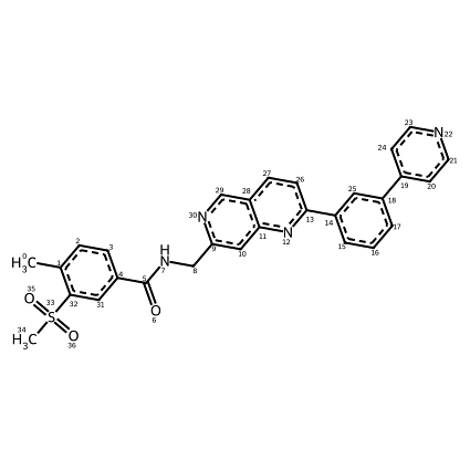 Cc1ccc(C(=O)NCc2cc3nc(-c4cccc(-c5ccncc5)c4)ccc3cn2)cc1S(C)(=O)=O